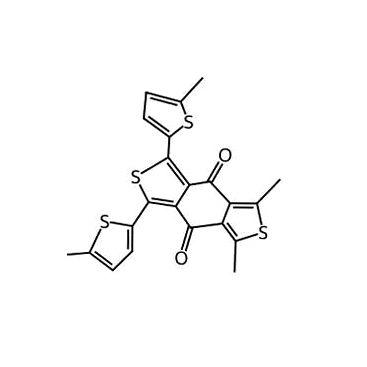 Cc1ccc(-c2sc(-c3ccc(C)s3)c3c2C(=O)c2c(C)sc(C)c2C3=O)s1